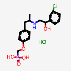 CC(Cc1ccc(OCP(=O)(O)O)cc1)NCC(O)c1cccc(Cl)c1.Cl